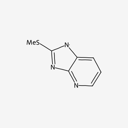 CSC1=Nc2ncccc2[N]1